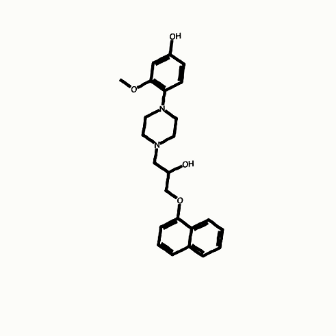 COc1cc(O)ccc1N1CCN(CC(O)COc2cccc3ccccc23)CC1